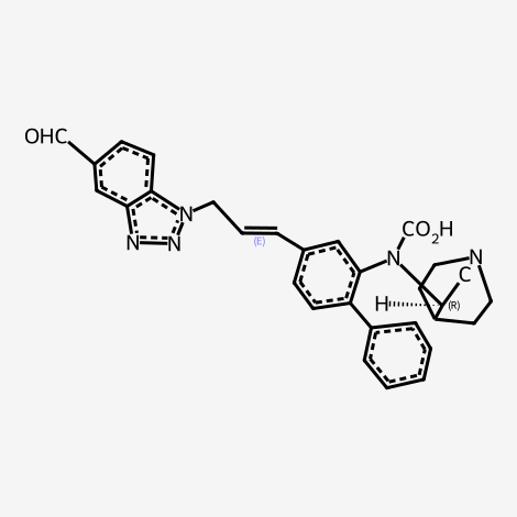 O=Cc1ccc2c(c1)nnn2C/C=C/c1ccc(-c2ccccc2)c(N(C(=O)O)[C@H]2CN3CCC2CC3)c1